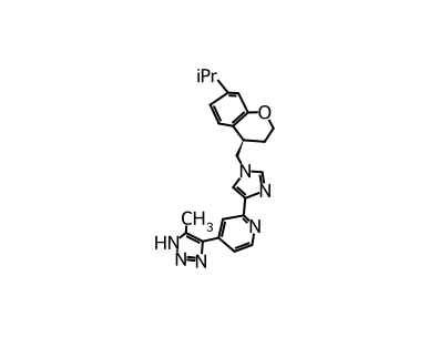 Cc1[nH]nnc1-c1ccnc(-c2cn(C[C@@H]3CCOc4cc(C(C)C)ccc43)cn2)c1